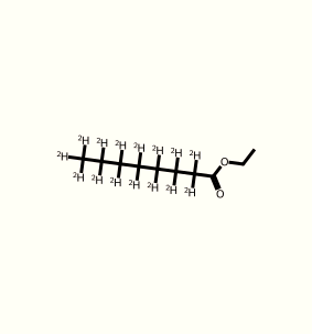 [2H]C([2H])([2H])C([2H])([2H])C([2H])([2H])C([2H])([2H])C([2H])([2H])C([2H])([2H])C([2H])([2H])C(=O)OCC